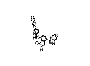 O=C1NCc2c(-c3cnc4cnccn34)ccc(Nc3ccc(N4CC5(COC5)C4)cn3)c21